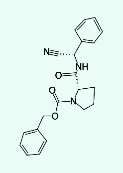 N#C[C@@H](NC(=O)[C@@H]1CCCN1C(=O)OCc1ccccc1)c1ccccc1